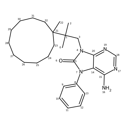 CC(C)(Cn1c(=O)n(-c2ccccc2)c2c(N)ncnc21)C1(C)CCCCCCCCCC1